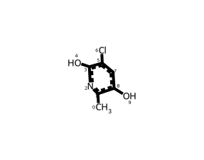 Cc1nc(O)c(Cl)cc1O